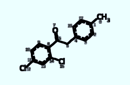 Cc1ccc(CC(=O)c2ccc(Cl)cc2Cl)cc1